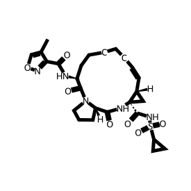 Cc1conc1C(=O)N[C@H]1CCCCC/C=C\[C@@H]2C[C@@]2(C(=O)NS(=O)(=O)C2CC2)NC(=O)[C@@H]2CCCN2C1=O